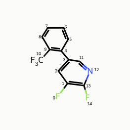 Fc1cc(-c2ccc[c]c2C(F)(F)F)cnc1F